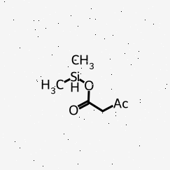 CC(=O)CC(=O)O[SiH](C)C